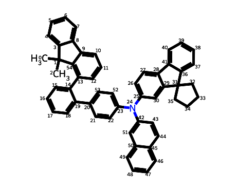 CC1(C)c2ccccc2-c2cccc(-c3ccccc3-c3ccc(N(c4ccc5c(c4)C4(CCCC4)c4ccccc4-5)c4ccc5ccccc5c4)cc3)c21